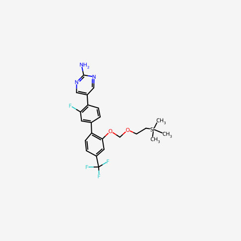 C[Si](C)(C)CCOCOc1cc(C(F)(F)F)ccc1-c1ccc(-c2cnc(N)nc2)c(F)c1